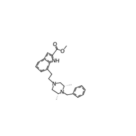 COC(=O)c1cc2cccc(CCN3C[C@@H](C)N(Cc4ccccc4)[C@@H](C)C3)c2[nH]1